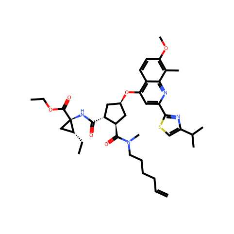 C=CCCCCN(C)C(=O)[C@@H]1C[C@H](Oc2cc(-c3nc(C(C)C)cs3)nc3c(C)c(OC)ccc23)C[C@H]1C(=O)N[C@]1(C(=O)OCC)C[C@H]1CC